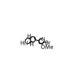 COc1cc(C2=CC[C@H]3CCNC[C@H]3C2)cnc1Br